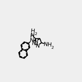 NC1=NN2C(N)C1N2Nc1ccc2ccccc2c1